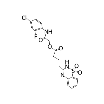 O=C(COC(=O)CCCC1=Nc2ccccc2S(=O)(=O)N1)Nc1ccc(Cl)cc1F